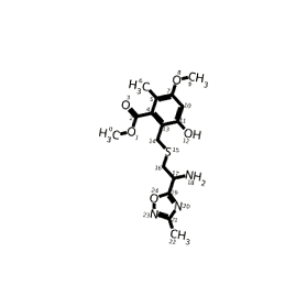 COC(=O)c1c(C)c(OC)cc(O)c1CSCC(N)c1nc(C)no1